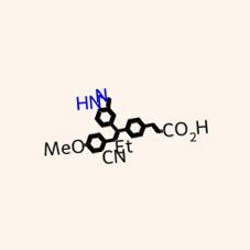 CCC(=C(c1ccc(C=CC(=O)O)cc1)c1ccc2[nH]ncc2c1)c1ccc(OC)cc1C#N